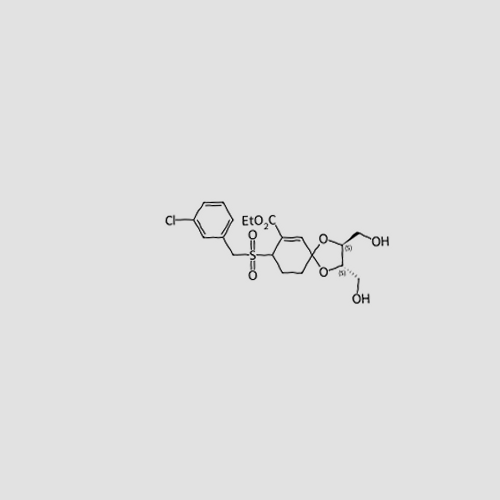 CCOC(=O)C1=CC2(CCC1S(=O)(=O)Cc1cccc(Cl)c1)O[C@@H](CO)[C@H](CO)O2